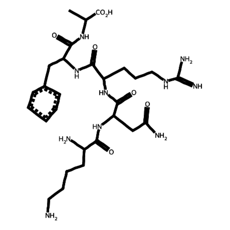 CC(NC(=O)C(Cc1ccccc1)NC(=O)C(CCCNC(=N)N)NC(=O)C(CC(N)=O)NC(=O)C(N)CCCCN)C(=O)O